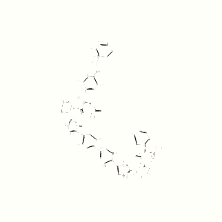 CCN(CC)[C@@H](C(=O)N1CCC[C@H]1c1ncc(-c2ccc(-c3ccc(-c4cnc([C@@H]5CCCN5C(=O)[C@H](Cc5ccc(OCc6ccccc6)cc5)OC(N)=O)[nH]4)cc3)cc2)[nH]1)c1ccccc1